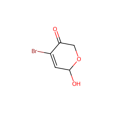 O=C1COC(O)C=C1Br